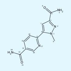 Cn1nc(C(N)=O)cc1-c1ccc(C(N)=O)cn1